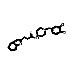 O=C(CCc1cc2ccccc2o1)NC1CCN(Cc2ccc(Cl)c(Cl)c2)CC1